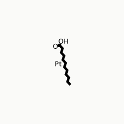 CCCCCCCCCCCC(=O)O.[Pt]